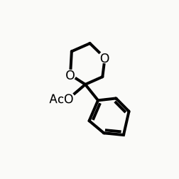 CC(=O)OC1(c2ccccc2)COCCO1